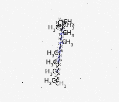 CC(C)=CCC/C(C)=C/CC/C(C)=C/C=C/C(C)=C/C=C/C=C(C)/C=C/C=C(C)/C=C/C1C(C)=CCCC1(C)C